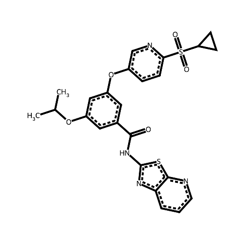 CC(C)Oc1cc(Oc2ccc(S(=O)(=O)C3CC3)nc2)cc(C(=O)Nc2nc3cccnc3s2)c1